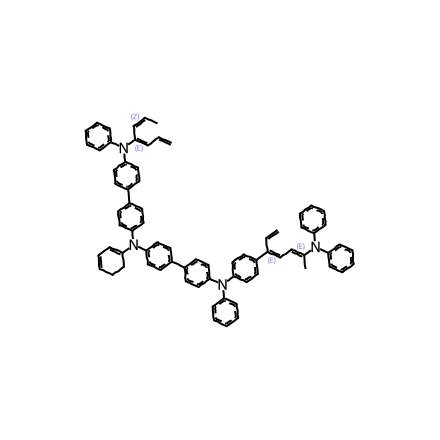 C=C/C=C(\C=C/C)N(c1ccccc1)c1ccc(-c2ccc(N(C3=CC=CCC3)c3ccc(-c4ccc(N(c5ccccc5)c5ccc(/C(C=C)=C/C=C(\C)N(c6ccccc6)c6ccccc6)cc5)cc4)cc3)cc2)cc1